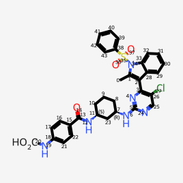 Cc1c(-c2nc(N[C@@H]3CCC[C@H](NC(=O)c4ccc(NC(=O)O)cc4)C3)ncc2Cl)c2ccccc2n1S(=O)(=O)c1ccccc1